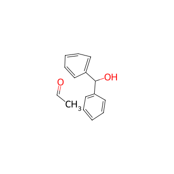 CC=O.OC(c1ccccc1)c1ccccc1